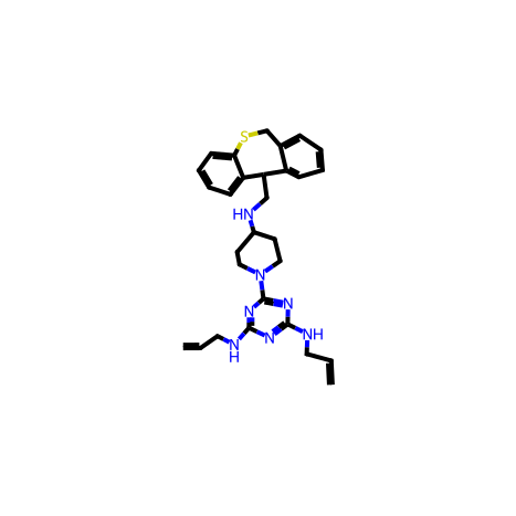 C=CCNc1nc(NCC=C)nc(N2CCC(NCC3c4ccccc4CSc4ccccc43)CC2)n1